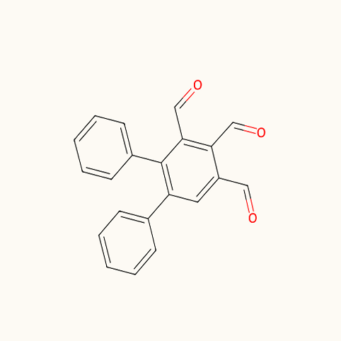 O=Cc1cc(-c2ccccc2)c(-c2ccccc2)c(C=O)c1C=O